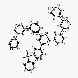 CC1(C)c2ccccc2-c2ccc(C3=CC(c4cccc(-c5cncc(C6=CCNC=C6)c5)c4)CC(c4cccc(-c5cncc(-c6ccncc6)c5)c4)=C3)cc21